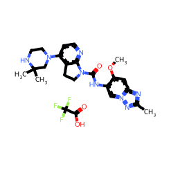 COc1cc2nc(C)nn2cc1NC(=O)N1CCc2c(N3CCNC(C)(C)C3)ccnc21.O=C(O)C(F)(F)F